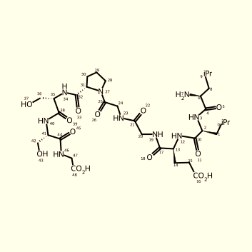 CC(C)C[C@H](NC(=O)[C@@H](N)CC(C)C)C(=O)N[C@@H](CCC(=O)O)C(=O)NCC(=O)NCC(=O)N1CCC[C@H]1C(=O)N[C@@H](CO)C(=O)N[C@@H](CO)C(=O)NCC(=O)O